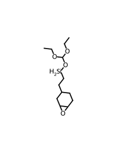 CCOC(OCC)O[SiH2]CCC1CCC2OC2C1